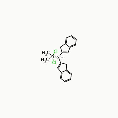 [CH3][Zr]([CH3])([Cl])([Cl])[SiH](C1=Cc2ccccc2C1)C1=Cc2ccccc2C1